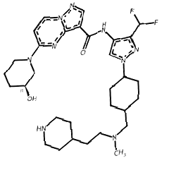 CN(CCC1CCNCC1)CC1CCC(n2cc(NC(=O)c3cnn4ccc(N5CCC[C@H](O)C5)nc34)c(C(F)F)n2)CC1